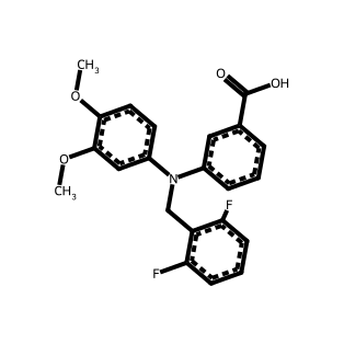 COc1ccc(N(Cc2c(F)cccc2F)c2cccc(C(=O)O)c2)cc1OC